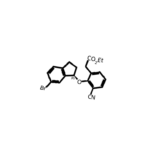 CCOC(=O)Cc1cccc(C#N)c1O[C@@H]1CCc2ccc(Br)cc21